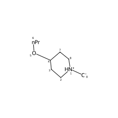 [CH2-][NH+]1CCC(OCCC)CC1